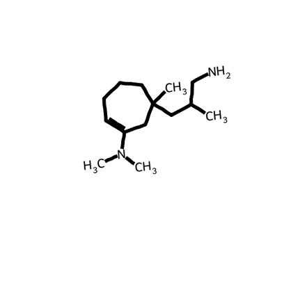 CC(CN)CC1(C)CCCC=C(N(C)C)C1